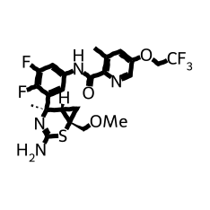 COC[C@]12C[C@H]1[C@](C)(c1cc(NC(=O)c3ncc(OCC(F)(F)F)cc3C)cc(F)c1F)N=C(N)S2